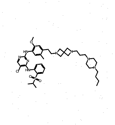 CCCCN1CCN(CCCN2CC3(C2)CN(CCc2cc(OC)c(Nc4ncc(Cl)c(Nc5ccccc5S(=O)(=O)C(C)C)n4)cc2C)C3)CC1